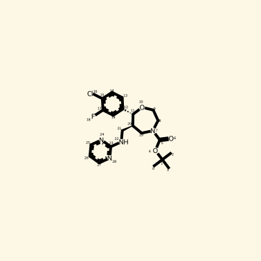 CC(C)(C)OC(=O)N1CCO[C@@H](c2ccc(Cl)c(F)c2)[C@H](CNc2ncccn2)C1